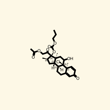 CCCOC(=O)O[C@]1(C(=O)COC(C)=O)[C@H](C)C[C@H]2[C@@H]3CCC4=CC(=O)C=C[C@]4(C)[C@@]3(Cl)C(O)C[C@@]21C